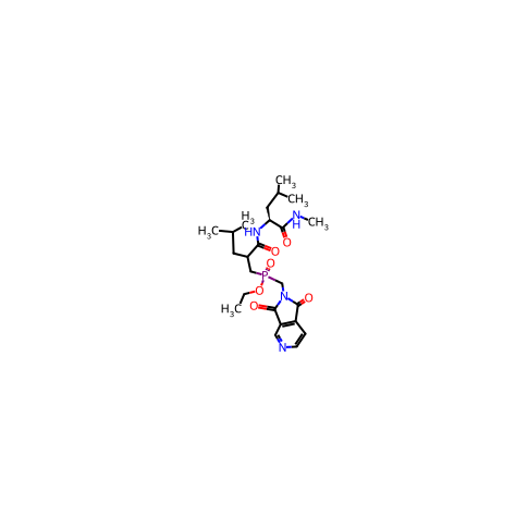 CCOP(=O)(CC(CC(C)C)C(=O)N[C@@H](CC(C)C)C(=O)NC)CN1C(=O)c2ccncc2C1=O